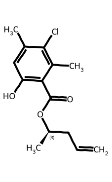 C=CC[C@@H](C)OC(=O)c1c(O)cc(C)c(Cl)c1C